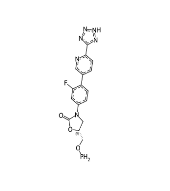 O=C1O[C@@H](COP)CN1c1ccc(-c2ccc(-c3nn[nH]n3)nc2)c(F)c1